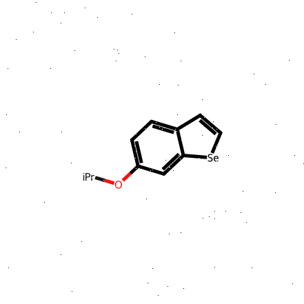 CC(C)Oc1ccc2cc[se]c2c1